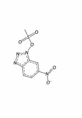 CS(=O)(=O)On1nnc2ccc([N+](=O)[O-])cc21